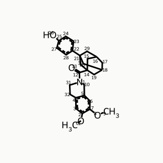 COc1cc2c(cc1OC)CN(C(=O)C13CC4CC(C1)CC(c1ccc(O)cc1)(C4)C3)CC2